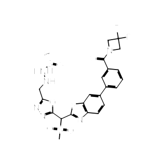 CS(=O)(=O)C(c1nnc(CNN[SH](=O)=O)o1)c1nc2ccc(-c3cccc(C(=O)N4CC(F)(F)C4)c3)cc2s1